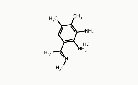 CN=C(C)c1cc(C)c(C)c(N)c1N.Cl